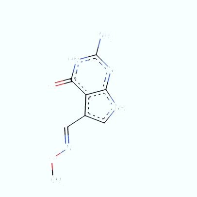 CO/N=C/c1c[nH]c2nc(N)[nH]c(=O)c12